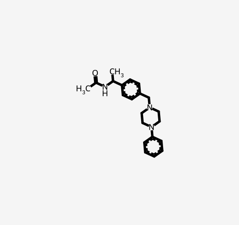 CC(=O)NC(C)c1ccc(CN2CCN(c3ccccc3)CC2)cc1